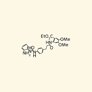 CCOC(=O)c1cc(OC)c(OC)cc1NC(=O)CCc1ccc(NC(=O)Nc2ccccc2N)cc1